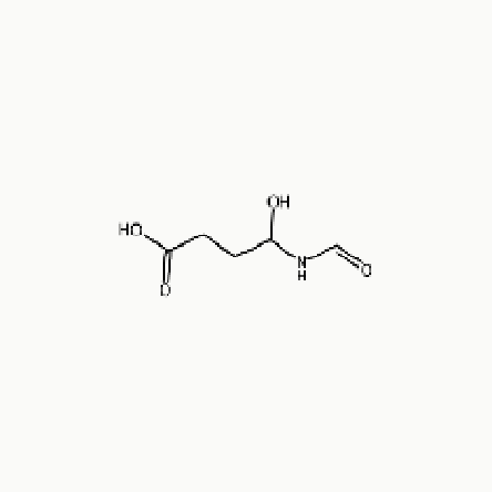 O=CNC(O)CCC(=O)O